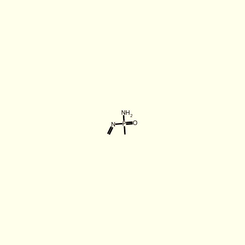 C=NP(C)(N)=O